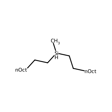 CCCCCCCCCC[SiH](C)CCCCCCCCCC